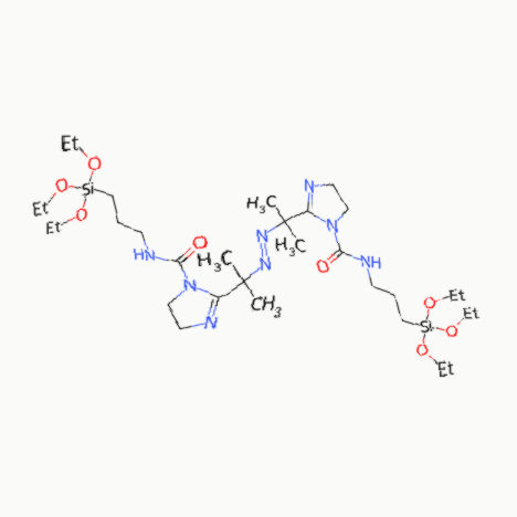 CCO[Si](CCCNC(=O)N1CCN=C1C(C)(C)N=NC(C)(C)C1=NCCN1C(=O)NCCC[Si](OCC)(OCC)OCC)(OCC)OCC